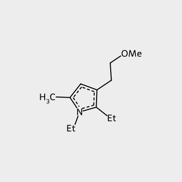 CCc1c(CCOC)cc(C)n1CC